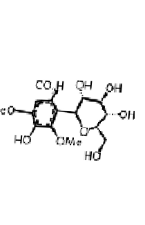 COc1cc(C(=O)O)c(C2O[C@H](CO)[C@@H](O)[C@H](O)[C@H]2O)c(OC)c1O